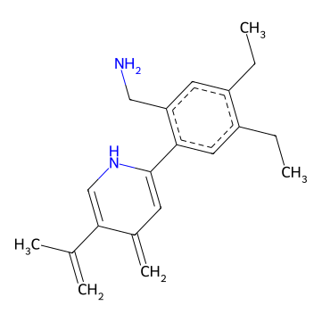 C=C(C)C1=CNC(c2cc(CC)c(CC)cc2CN)=CC1=C